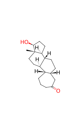 C[C@]12CC[C@H]3[C@@H](CC[C@@H]4CC(=O)CCC[C@@H]43)[C@@H]1CC[C@@H]2O